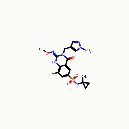 CO/N=c1\[nH]c2c(Br)cc(S(=O)(=O)NC3(C)CC3)cc2c(=O)n1Cc1cnn(C)c1